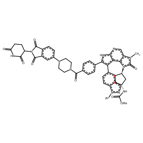 COC(=O)N[C@@H]1CC[C@@H](n2c(=O)n(C)c3cnc4[nH]c(-c5ccc(C(=O)N6CCN(c7ccc8c(c7)C(=O)N(C7CCC(=O)NC7=O)C8=O)CC6)cc5)c(-c5ccc6c(cnn6C(C)C)c5)c4c32)C1